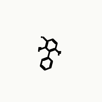 [CH2]c1ccc(F)c(-c2ccccc2)c1F